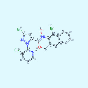 [O-][N+]1=C(c2cc(Br)nn2-c2ncccc2Cl)OCc2cc3ccccc3c(Br)c21